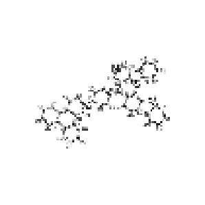 C1=CC2Sc3cc(N(c4ccc(-c5ccc6c7ccccc7c7ccccc7c6c5)cc4)c4cncc5c4sc4ccccc45)ccc3C2C=C1